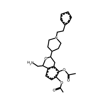 CC(=O)Oc1ccc2c(c1OC(C)=O)CC(C1CCN(CCc3ccccc3)CC1)OC2CN